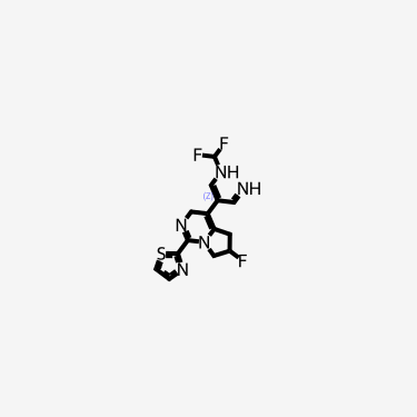 N=C/C(=C\NC(F)F)C1=C2CC(F)CN2C(c2nccs2)=NC1